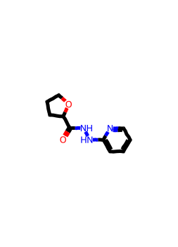 O=C(NNc1ccccn1)C1CCCO1